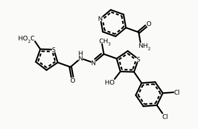 CC(=NNC(=O)c1ccc(C(=O)O)s1)c1csc(-c2ccc(Cl)c(Cl)c2)c1O.NC(=O)c1ccncc1